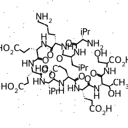 CC(C)C[C@H](NC(=O)[C@@H](N)C(C)C)C(=O)N[C@@H](CCCCN)C(=O)N[C@@H](CCC(=O)O)C(=O)N[C@@H](CCC(=O)O)C(=O)N[C@H](C(=O)N[C@@H](CCC(=O)O)C(=O)N[C@@H](CCC(=O)O)C(=O)N[C@H](C(=O)N[C@@H](CO)C(=O)O)[C@@H](C)O)C(C)C